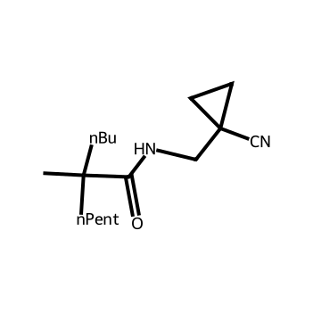 CCCCCC(C)(CCCC)C(=O)NCC1(C#N)CC1